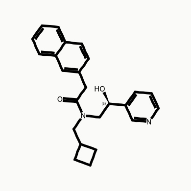 O=C(Cc1ccc2ccccc2c1)N(CC1CCC1)C[C@@H](O)c1cccnc1